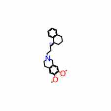 COc1cc2c(cc1OC)CN(CC/C=C1\CCCc3ccccc31)CC2